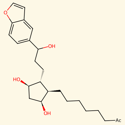 CC(=O)CCCCCC[C@@H]1[C@@H](CCC(O)c2ccc3occc3c2)[C@H](O)C[C@@H]1O